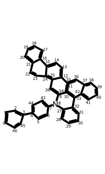 c1ccc(-c2ccc(N(c3ccc4ccc5c6ccccc6ccc5c4c3)c3ccccc3-c3cccc4ccccc34)cc2)cc1